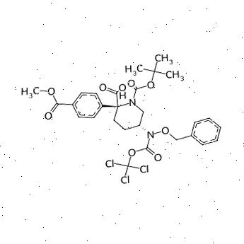 COC(=O)c1ccc([C@]2(C(=O)O)CC[C@@H](N(OCc3ccccc3)C(=O)OC(Cl)(Cl)Cl)CN2C(=O)OC(C)(C)C)cc1